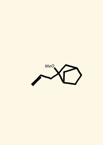 C=CCC1(OC)CC2CCC1C2